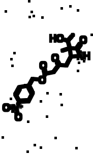 CC(O)C1(C)C(=O)NC1CC(=O)CC(=O)OCc1ccc([N+](=O)[O-])cc1